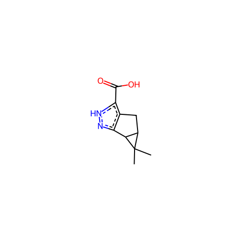 CC1(C)C2Cc3c(n[nH]c3C(=O)O)C21